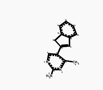 Cc1nc(N)ncc1C1=Cc2ccccc2C1